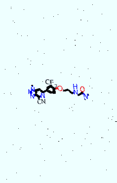 CN(C)C(=O)CNCCCOc1ccc(-c2cc3c(nnn3C)c(C#N)n2)cc1C(F)(F)F